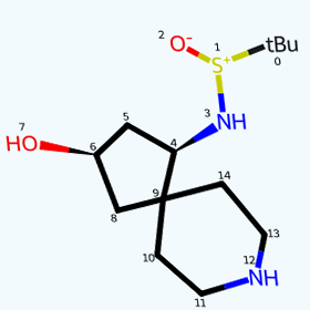 CC(C)(C)[S+]([O-])N[C@@H]1C[C@H](O)CC12CCNCC2